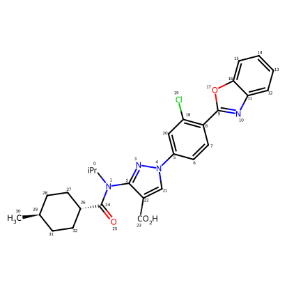 CC(C)N(c1nn(-c2ccc(-c3nc4ccccc4o3)c(Cl)c2)cc1C(=O)O)C(=O)[C@H]1CC[C@H](C)CC1